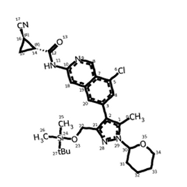 Cc1c(-c2cc(Cl)c3cnc(NC(=O)[C@@H]4C[C@H]4C#N)cc3c2)c(CO[Si](C)(C)C(C)(C)C)nn1C1CCCCO1